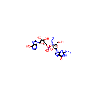 [N-]=[N+]=N[C@H]1[C@@H](OP(=O)(O)OC[C@H]2O[C@@H](n3cnc4c(O)ncnc43)[C@H](O)[C@@H]2O)[C@H](n2cnc3c(=O)[nH]c(N)nc32)O[C@@H]1CO